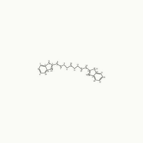 c1ccc2sc(SSCCSCCSSc3nc4ccccc4s3)nc2c1